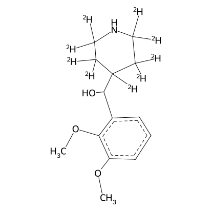 [2H]C1([2H])NC([2H])([2H])C([2H])([2H])C([2H])(C(O)c2cccc(OC)c2OC)C1([2H])[2H]